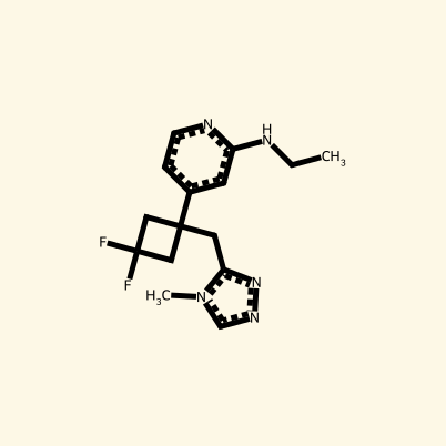 CCNc1cc(C2(Cc3nncn3C)CC(F)(F)C2)ccn1